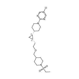 CCS(=O)(=O)N1CCC(COCC[C@@H]2C[C@@H]2C2CCN(c3ncc(Cl)cn3)CC2)CC1